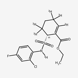 [2H]C1=C(C(=O)OCC)[C@H](S(=O)(=O)N([2H])c2ccc(F)cc2Cl)C([2H])([2H])CC1([2H])[2H]